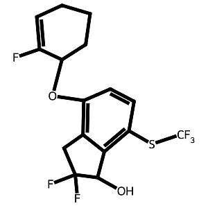 OC1c2c(SC(F)(F)F)ccc(OC3CCCC=C3F)c2CC1(F)F